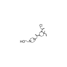 C=C[C@]1(C)CC[C@@H](C(=C)CN2CCN(CCO)CC2)C[C@H]1C(=C)CCl